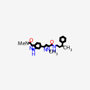 CNC(=O)c1n[nH]c2cc(-c3cc(C(=O)NCCC(C)c4ccccc4)n(C)n3)ccc12